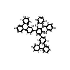 C1=CC2c3ccccc3-c3ccc(-c4cc(-c5ccc6c7ccccc7c7ccccc7c6c5)c5c6c4Oc4ccccc4B6c4ccccc4O5)cc3C2C=C1